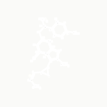 C/N=C\C1CC1c1c(C)sc2nc(CN(C)c3ccc(Cl)cn3)cc(=O)n12